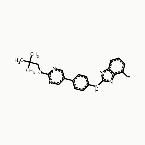 CC(C)(C)COc1ncc(-c2ccc(Nc3nc4c(F)cccc4s3)cc2)cn1